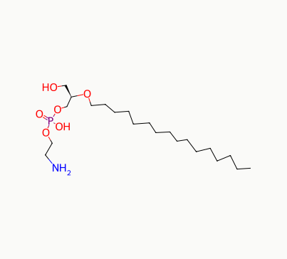 CCCCCCCCCCCCCCCCO[C@H](CO)COP(=O)(O)OCCN